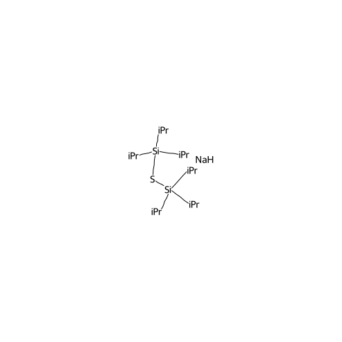 CC(C)[Si](S[Si](C(C)C)(C(C)C)C(C)C)(C(C)C)C(C)C.[NaH]